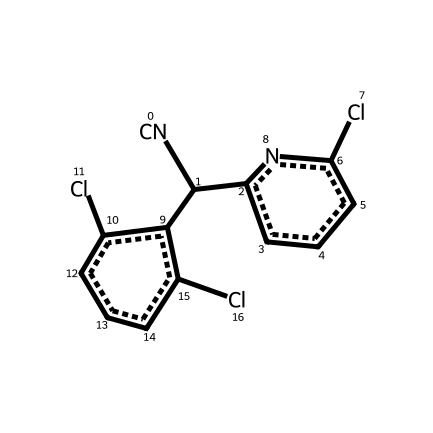 [C-]#[N+]C(c1cccc(Cl)n1)c1c(Cl)cccc1Cl